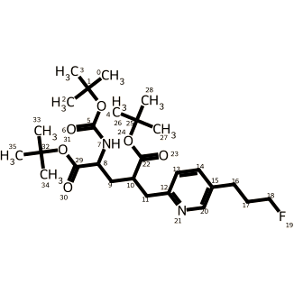 CC(C)(C)OC(=O)NC(CC(Cc1ccc(CCCF)cn1)C(=O)OC(C)(C)C)C(=O)OC(C)(C)C